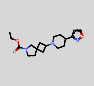 CCOC(=O)N1CCC2(CC(N3CCC(c4ccon4)CC3)C2)C1